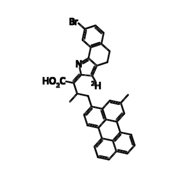 [2H]C1=C2CCc3ccc(Br)cc3C2=NC1=C(C(=O)O)C(C)Cc1ccc2c3cccc4cccc(c5cc(C)cc1c25)c43